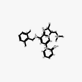 Cc1cccc(C)c1COC1=CC(n2ccccc2=O)=CN2C1=NC(C)C2CN(C)C